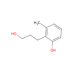 Cc1cccc(O)c1CCCO